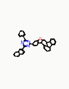 c1ccc(-c2nc(-c3ccc4ccccc4c3)nc(-c3ccc4c(c3)oc3cc5c6c(cccc6c34)-c3ccccc3-5)n2)cc1